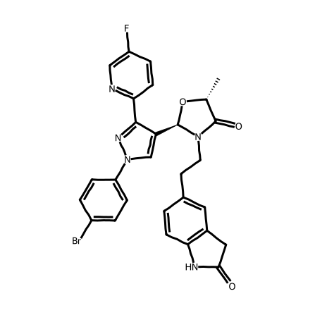 C[C@H]1O[C@H](c2cn(-c3ccc(Br)cc3)nc2-c2ccc(F)cn2)N(CCc2ccc3c(c2)CC(=O)N3)C1=O